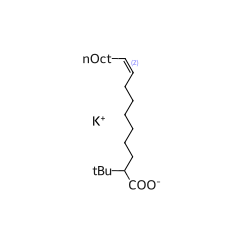 CCCCCCCC/C=C\CCCCCCC(C(=O)[O-])C(C)(C)C.[K+]